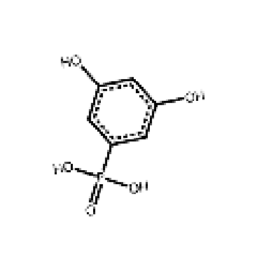 O=P(O)(O)c1cc(O)cc(O)c1